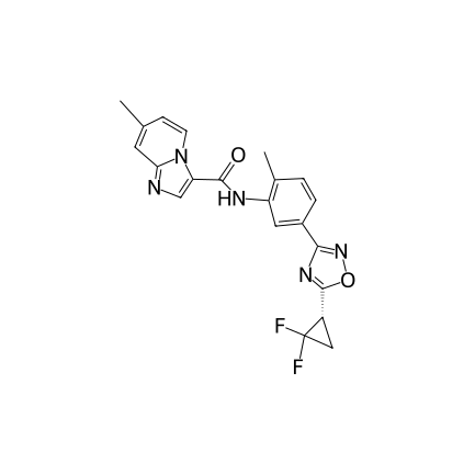 Cc1ccn2c(C(=O)Nc3cc(-c4noc([C@@H]5CC5(F)F)n4)ccc3C)cnc2c1